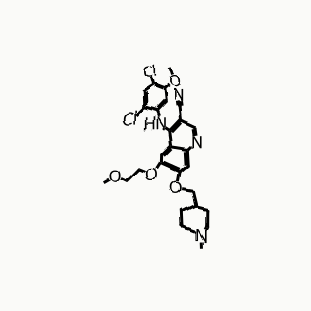 COCCOc1cc2c(Nc3cc(OC)c(Cl)cc3Cl)c(C#N)cnc2cc1OCC1CCN(C)CC1